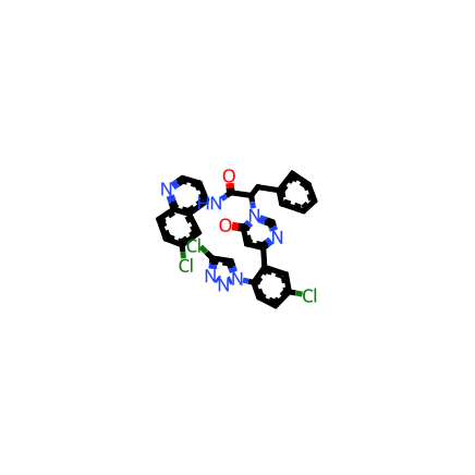 O=C(Nc1ccnc2ccc(Cl)cc12)C(Cc1ccccc1)n1cnc(-c2cc(Cl)ccc2-n2cc(Cl)nn2)cc1=O